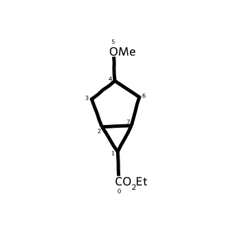 CCOC(=O)C1C2CC(OC)CC21